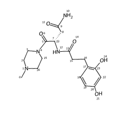 CN1CCN(C(=O)[C@H](CC(N)=O)NC(=O)CCc2ccc(O)cc2O)CC1